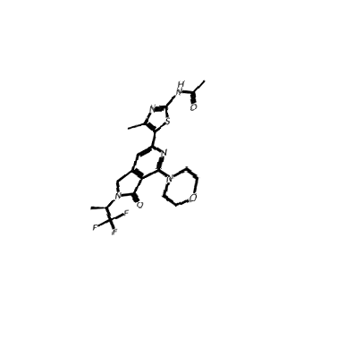 CC(=O)Nc1nc(C)c(-c2cc3c(c(N4CCOCC4)n2)C(=O)N([C@H](C)C(F)(F)F)C3)s1